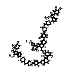 CN1CC2(CNC(=O)c3c2[nH]c2c3C(CN3CC4(CNC(=O)c5c4[nH]c4c5CCc5cnc(-c6ccc(N7CCC(CC8CCN(c9ccc%10c(c9)n(C)c(=O)n%10C9CCC(=O)NC9=O)CC8)CC7)cc6F)cc5-4)C3)Cc3cnc(-c4ccc(N5CCC(CC6CCN(c7cccc8c7n(C)c(=O)n8C7CCC(=O)NC7=O)CC6)CC5)cc4F)cc3-2)C1